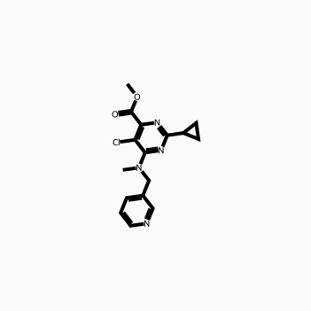 COC(=O)c1nc(C2CC2)nc(N(C)Cc2cccnc2)c1Cl